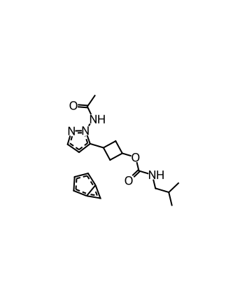 CC(=O)Nn1nccc1C1CC(OC(=O)NCC(C)C)C1.c1cc2cc-2c1